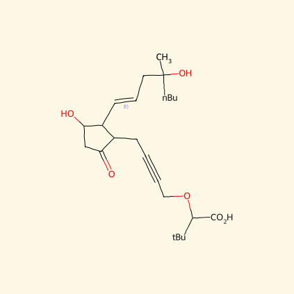 CCCCC(C)(O)C/C=C/C1C(O)CC(=O)C1CC#CCOC(C(=O)O)C(C)(C)C